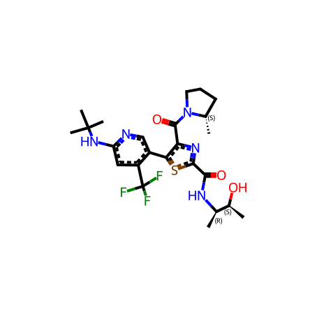 C[C@H](O)[C@@H](C)NC(=O)c1nc(C(=O)N2CCC[C@@H]2C)c(-c2cnc(NC(C)(C)C)cc2C(F)(F)F)s1